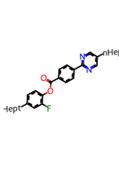 CCCCCCCc1cnc(-c2ccc(C(=O)Oc3ccc(CCCCCCC)cc3F)cc2)nc1